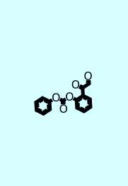 O=CC(=O)c1ccccc1OC(=O)Oc1ccccc1